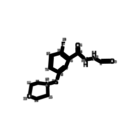 O=CNNC(=O)c1cc(SN2CCOCC2)ccc1F